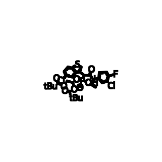 C=CN(C(=O)C(c1csc2ccc(Cl)cc12)P(=O)(O)OC(COC(=O)C(C)(C)C)OC(=O)C(C)(C)C)c1ccc(F)c(Cl)c1